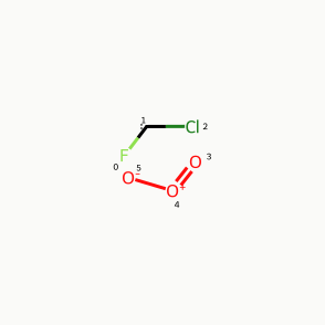 F[C]Cl.O=[O+][O-]